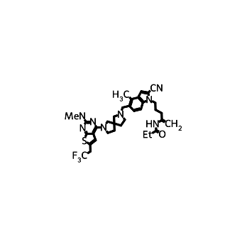 C=C(CCCn1c(C#N)cc2c(C)c(CN3CCC4(CCN(c5nc(NC)nc6sc(CC(F)(F)F)cc56)C4)C3)ccc21)NC(=O)CC